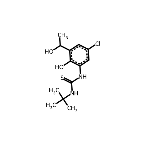 CC(O)c1cc(Cl)cc(NC(=S)NC(C)(C)C)c1O